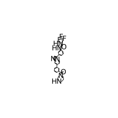 O=C(NCC(F)(F)F)Nc1cccc(-c2cnc3cc(-c4cccc(C(=O)N5CCCNCC5)c4)ccn23)c1